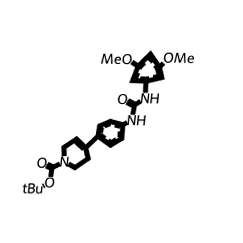 COc1cc(NC(=O)Nc2ccc(C3=CCN(C(=O)OC(C)(C)C)CC3)cc2)cc(OC)c1